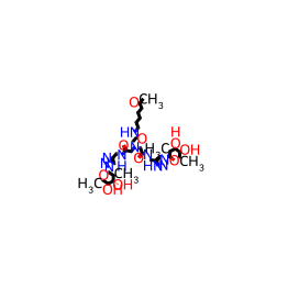 CC(=O)CCCCCNC(=O)CN(CC(=O)NCc1cn([C@H]2O[C@@H](C)[C@@H](O)[C@@H](O)[C@@H]2C)nn1)CC(=O)NCc1cn([C@H]2O[C@@H](C)[C@@H](O)[C@@H](O)[C@@H]2C)nn1